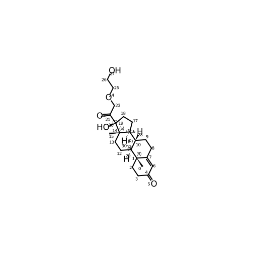 C[C@]12CCC(=O)C=C1CC[C@@H]1[C@@H]2CC[C@@]2(C)[C@H]1CC[C@@]2(O)C(=O)COCCO